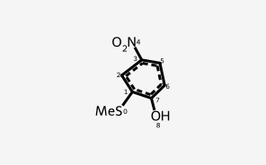 CSc1cc([N+](=O)[O-])ccc1O